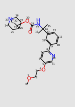 COCCOc1ccc(-c2cccc(C(C)(C)NC(=O)OC3CN4CCC3CC4)c2)nc1